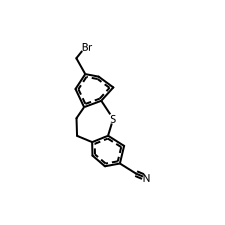 N#Cc1ccc2c(c1)Sc1ccc(CBr)cc1CC2